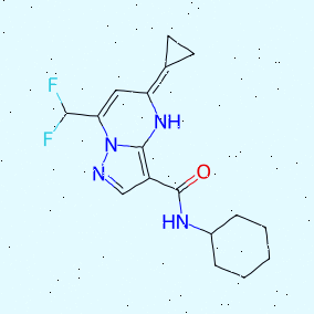 O=C(NC1CCCCC1)c1cnn2c1NC(=C1CC1)C=C2C(F)F